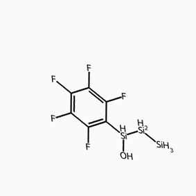 O[SiH]([SiH2][SiH3])c1c(F)c(F)c(F)c(F)c1F